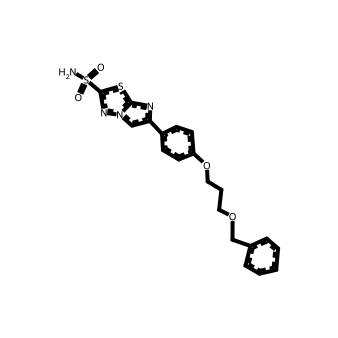 NS(=O)(=O)c1nn2cc(-c3ccc(OCCCOCc4ccccc4)cc3)nc2s1